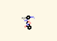 Cc1ccc(N)cc1NC(=O)CN1C(=O)c2ccccc2C1=O